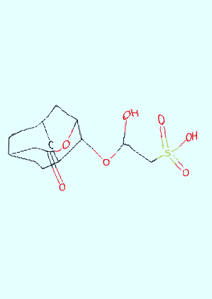 O=C1OC2CC3CC1CC(C3)C2OC(O)CS(=O)(=O)O